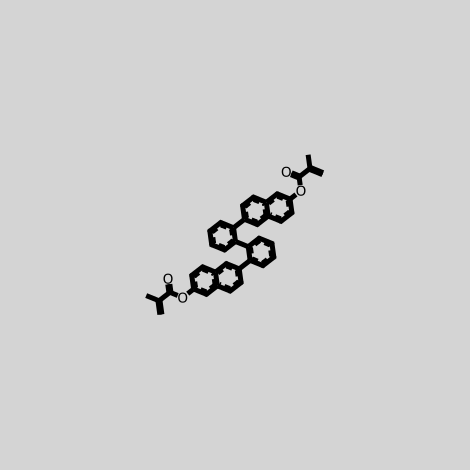 C=C(C)C(=O)Oc1ccc2cc(-c3ccccc3-c3ccccc3-c3ccc4cc(OC(=O)C(=C)C)ccc4c3)ccc2c1